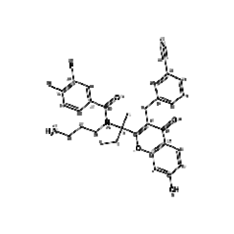 CCC(C)(c1oc2cc(O)ccc2c(=O)c1Cc1cccc(C#N)c1)N(CCCN)C(=O)c1ccc(C)c(F)c1